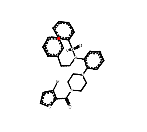 O=C(c1sccc1Br)N1CCN(c2ccccc2N(CCc2ccccc2)S(=O)(=O)c2ccccc2)CC1